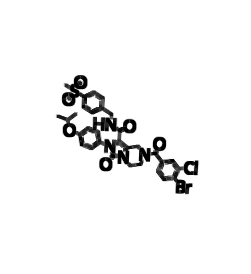 CC(C)Oc1ccc(-n2c(C(=O)NCc3ccc(S(C)(=O)=O)cc3)c3n(c2=O)CCN(C(=O)c2ccc(Br)c(Cl)c2)C3)cc1